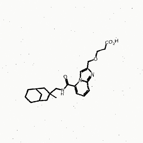 CC1(CNC(=O)c2cccc3nc(COCCC(=O)O)cn23)CC2CCCC(C2)C1